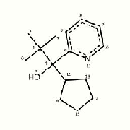 CC(C)(C)C(O)(c1ccccn1)C1CCCC1